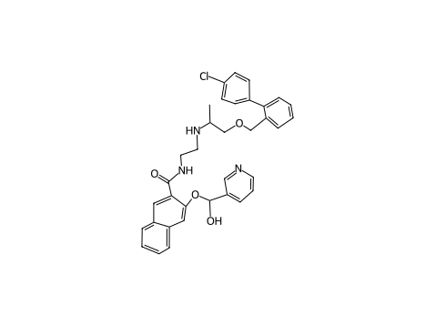 CC(COCc1ccccc1-c1ccc(Cl)cc1)NCCNC(=O)c1cc2ccccc2cc1OC(O)c1cccnc1